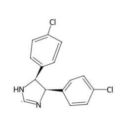 Clc1ccc([C@H]2N=[C]N[C@H]2c2ccc(Cl)cc2)cc1